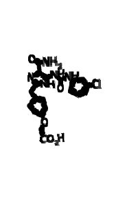 NC(=O)c1nc(Cc2ccc(OCC(=O)O)cc2)[nH]c1NC(=O)Nc1cccc(Cl)c1